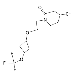 CC1CCN(CCOC2CC(OC(F)(F)F)C2)C(=O)C1